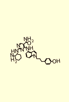 NC(=O)c1cnc(NC2CCCCC2N)nc1Nc1cccc2c1ccn2CCCc1ccc(O)cc1